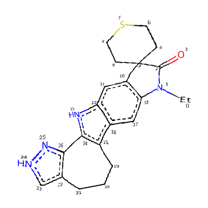 CCN1C(=O)C2(CCSCC2)c2cc3[nH]c4c(c3cc21)CCCc1c[nH]nc1-4